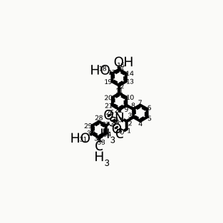 CCC1c2ccccc2-c2cc(-c3ccc(O)c(O)c3)ccc2N1S(=O)(=O)c1ccc(O)c(C)c1